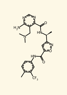 Cc1ccc(NC(=O)c2cc([C@H](C)NC(=O)c3ncnc(N)c3CN(C)C)no2)cc1C(F)(F)F